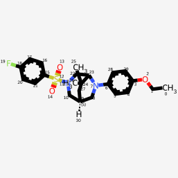 CCOc1ccc(N2C[C@H]3CN(S(=O)(=O)c4ccc(F)cc4)CC2C(C)(C)C3)cc1